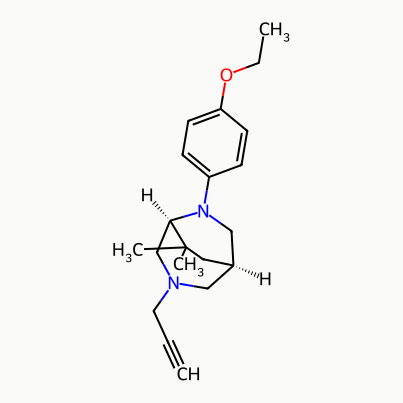 C#CCN1C[C@@H]2CN(c3ccc(OCC)cc3)[C@H](C1)C(C)(C)C2